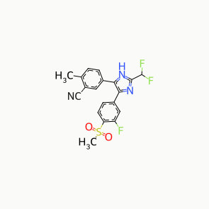 Cc1ccc(-c2[nH]c(C(F)F)nc2-c2ccc(S(C)(=O)=O)c(F)c2)cc1C#N